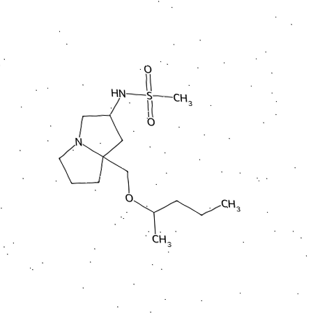 CCCC(C)OCC12CCCN1CC(NS(C)(=O)=O)C2